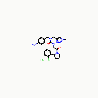 Cl.Cn1cc(CN(Cc2ccc(N)cc2)C(=O)NCC(=O)N2CCCC2c2ccccc2Cl)nn1